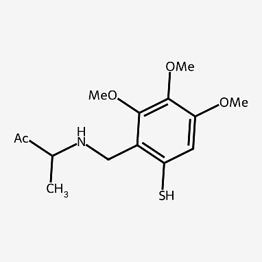 COc1cc(S)c(CNC(C)C(C)=O)c(OC)c1OC